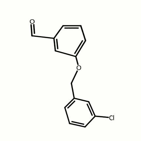 O=Cc1cccc(OCc2cccc(Cl)c2)c1